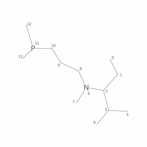 CCC(C(C)C)N(C)CCCP(C)C